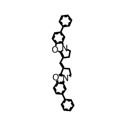 C(=C1CC[n+]2c1oc1ccc(-c3ccccc3)cc12)C1=C2Oc3ccc(-c4ccccc4)cc3N2CC1